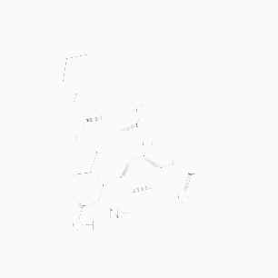 COC(=O)Oc1ccc(C(C(C)COC(=O)OCCC(C)C)[C@H](N)C(=O)O)cc1OC(=O)OC